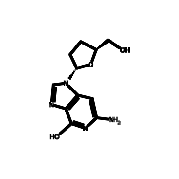 Nc1cc2c(ncn2[C@@H]2CC[C@@H](CO)O2)c(O)n1